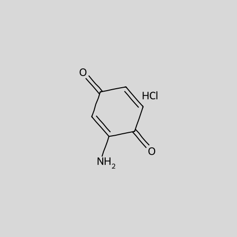 Cl.NC1=CC(=O)C=CC1=O